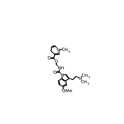 COc1ccc2c(c1)c(CCN(C)C)cn2C(=O)NCOC(=O)C1=CN(C)C=CC1